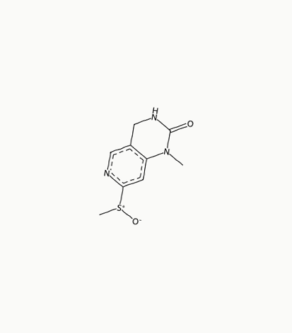 CN1C(=O)NCc2cnc([S+](C)[O-])cc21